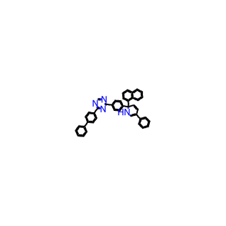 C1=CC(c2ccc(-c3ncnc(-c4ccc(-c5ccccc5)cc4)n3)cc2)(c2cccc3ccccc23)NC=C1c1ccccc1